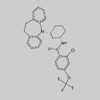 [O-][S+](N[C@H]1CCC[C@@H](N2c3ccccc3CCc3ccccc32)C1)c1ccc(OC(F)(F)F)cc1Cl